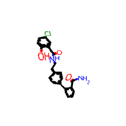 NC(=O)c1ccccc1-c1ccc(CCNC(=O)c2cc(Cl)ccc2O)cc1